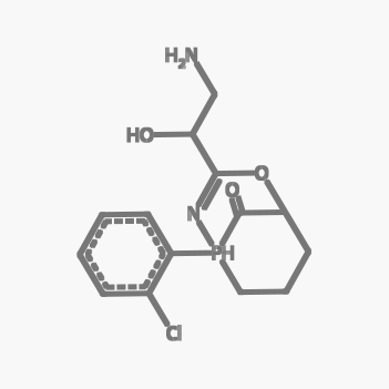 NCC(O)C1=N[PH]2(c3ccccc3Cl)CCCC(O1)C2=O